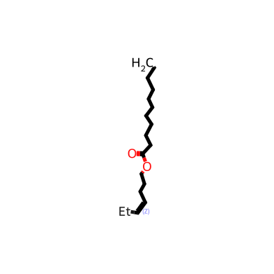 C=CCCCCCCCCC(=O)OCCC/C=C\CC